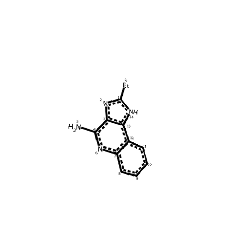 CCc1nc2c(N)nc3ccccc3c2[nH]1